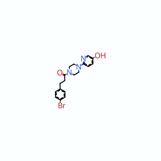 O=C(CCc1ccc(Br)cc1)N1CCN(c2ccc(O)cn2)CC1